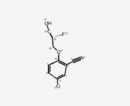 N#Cc1cc(Cl)ccc1OC[C@@H](F)CO